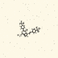 C[C@H]1CN(c2ccc(C(F)(F)F)cc2)C(=O)c2c(C#Cc3ccc(S(=O)(=O)F)cc3)cnn21